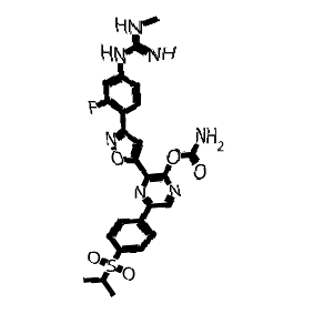 CNC(=N)Nc1ccc(-c2cc(-c3nc(-c4ccc(S(=O)(=O)C(C)C)cc4)cnc3OC(N)=O)on2)c(F)c1